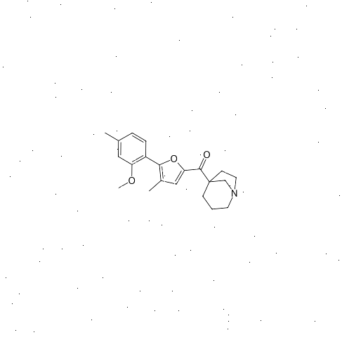 COc1cc(C)ccc1-c1oc(C(=O)C23CCCN(CC2)C3)cc1C